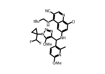 COc1ccc(C(Nc2cc(Cl)c3ncc(C#N)c(NCC(C)(C)C)c3c2)c2nnn(C3(C(F)F)CC3)c2OC)c(C)n1